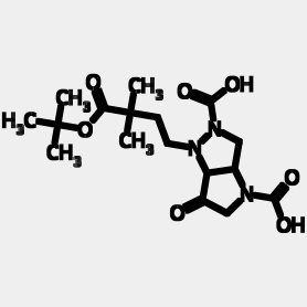 CC(C)(C)OC(=O)C(C)(C)CCN1C2C(=O)CN(C(=O)O)C2CN1C(=O)O